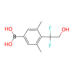 Cc1cc(B(O)O)cc(C)c1C(F)(F)CO